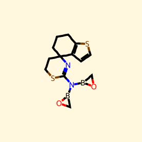 c1cc2c(s1)CCCC21CCSC(N(B2CO2)B2CO2)=N1